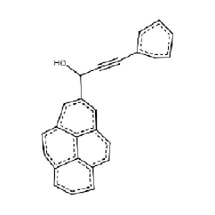 OC(C#Cc1ccccc1)c1cc2ccc3cccc4ccc(c1)c2c34